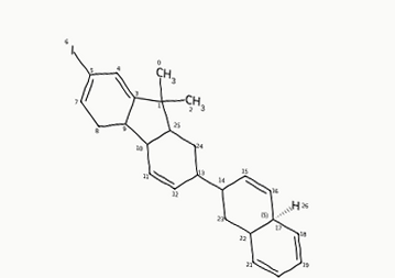 CC1(C)C2=CC(I)=CCC2C2C=CC(C3C=C[C@H]4C=CC=CC4C3)CC21